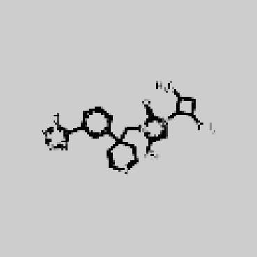 CCCCc1cn(C2C(C)CC2C)c(=O)n1CC1(c2cccc(-c3nnn[nH]3)c2)C=CN=CC1